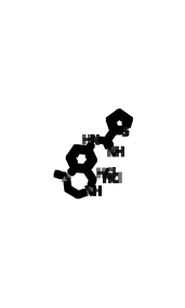 CN1CCNCc2cc(NC(=N)c3cccs3)ccc21.Cl.Cl